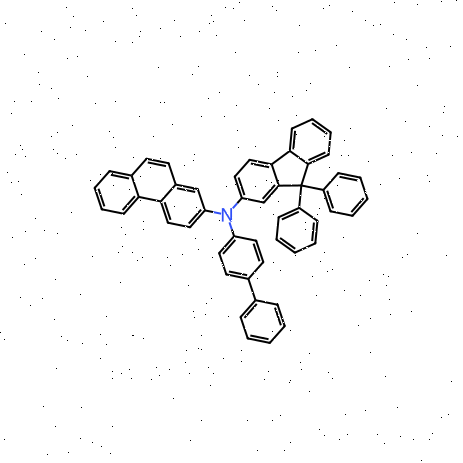 c1ccc(-c2ccc(N(c3ccc4c(c3)C(c3ccccc3)(c3ccccc3)c3ccccc3-4)c3ccc4c(ccc5ccccc54)c3)cc2)cc1